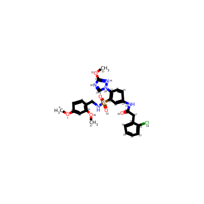 COc1ccc(CNS(=O)(=O)c2cc(NC(=O)Cc3ccccc3Cl)ccc2-n2cnc(OC)n2)c(OC)c1